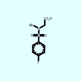 CC(C)(C)N(CC(=O)O)S(=O)(=O)c1ccc(F)cc1